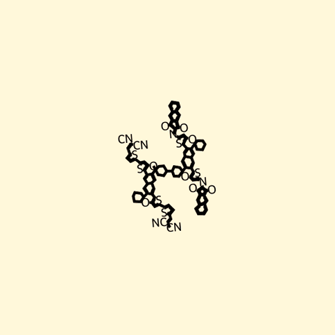 N#CC(C#N)=Cc1ccc(-c2cc3c(s2)C2=CC4C=C5C(=CC4C=C2C2(CCCCC2)O3)c2sc(-c3ccc(C=C(C#N)C#N)s3)cc2OC52CCC(C3CCC4(CC3)Oc3cc(N=c5c(=O)c6cc7ccccc7cc6c5=O)sc3C3=CC5C=C6C(=CC5C=C34)c3sc(N=c4c(=O)c5cc7ccccc7cc5c4=O)cc3OC63CCCCC3)CC2)s1